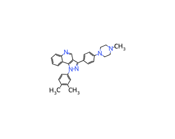 Cc1ccc(-n2nc(-c3ccc(N4CCN(C)CC4)cc3)c3cnc4ccccc4c32)cc1C